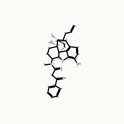 C=CCN1CC[C@]23c4c5ccc(O)c4OC2C(N(C)C(=O)CC(=O)c2ccccc2)CC[C@@]3(O)[C@H]1C5